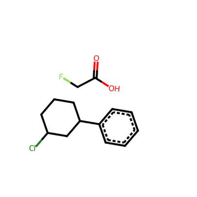 ClC1CCCC(c2ccccc2)C1.O=C(O)CF